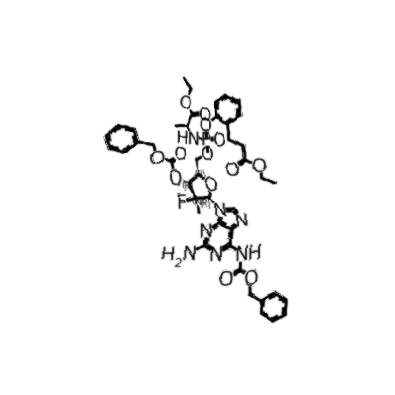 CCOC(=O)CCc1ccccc1OP(=O)(NC(C)C(=O)OCC)OC[C@H]1O[C@@H](n2cnc3c(NC(=O)OCc4ccccc4)nc(N)nc32)[C@](C)(F)[C@@H]1OC(=O)OCc1ccccc1